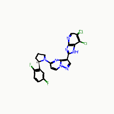 Fc1ccc(F)c([C@H]2CCCN2c2ccn3ncc(-c4nc5ncc(Cl)c(Cl)c5[nH]4)c3n2)c1